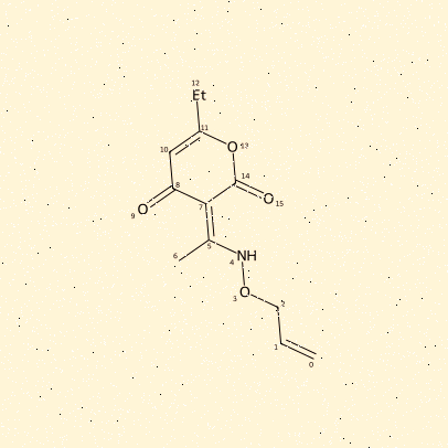 C=CCONC(C)=C1C(=O)C=C(CC)OC1=O